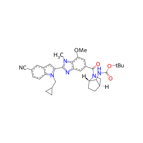 COc1cc(C(=O)N2C[C@H]3CC[C@H]2C3NC(=O)OC(C)(C)C)cc2nc(-c3cc4cc(C#N)ccc4n3CC3CC3)n(C)c12